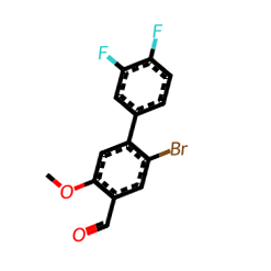 COc1cc(-c2ccc(F)c(F)c2)c(Br)cc1C=O